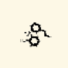 CCCc1ccccc1.Nc1ccccc1O